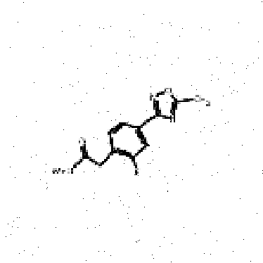 COC(=O)Cc1ccc(-c2noc(C)n2)cc1F